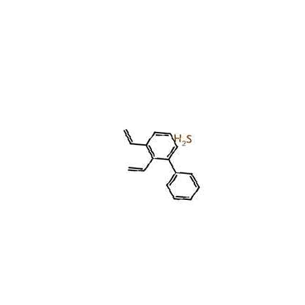 C=Cc1cccc(-c2ccccc2)c1C=C.S